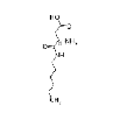 CCCCCCNC(=O)[C@@H](N)CC(=O)O